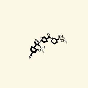 Cc1cc(C#N)ccc1-c1cnn(-c2ccc(C(=O)N3CCCC(N(C)C)C3)cn2)c1O